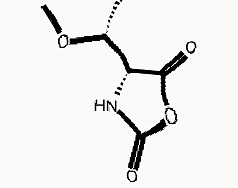 CO[C@H](C)[C@H]1NC(=O)OC1=O